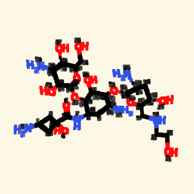 NC1CC(O)(C(=O)N[C@@H]2C[C@H](N)[C@@H](O[C@H]3O[C@H](CNCCO)[C@@H](O)C[C@H]3N)[C@H](O)[C@H]2O[C@H]2O[C@H](CO)[C@@H](O)[C@H](N)[C@H]2O)C1